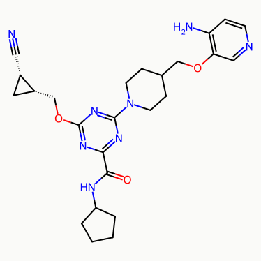 N#C[C@H]1C[C@H]1COc1nc(C(=O)NC2CCCC2)nc(N2CCC(COc3cnccc3N)CC2)n1